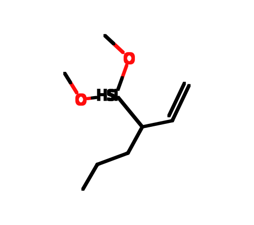 C=CC(CCC)[SiH](OC)OC